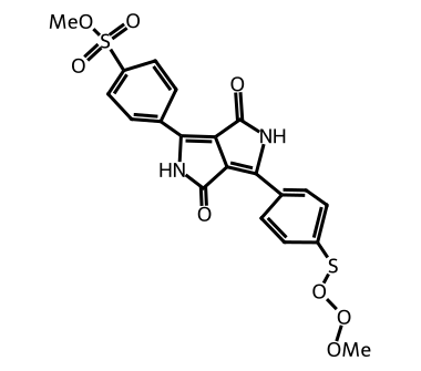 COOOSc1ccc(C2=C3C(=O)NC(c4ccc(S(=O)(=O)OC)cc4)=C3C(=O)N2)cc1